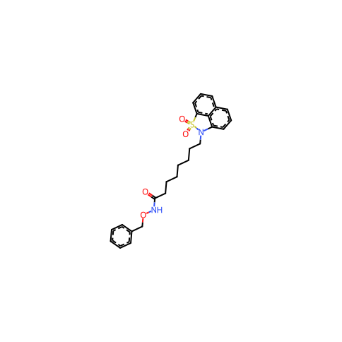 O=C(CCCCCCCN1c2cccc3cccc(c23)S1(=O)=O)NOCc1ccccc1